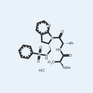 CN[C@@H](C)C(=O)N[C@H](C(=O)N1c2ncccc2C[C@H]1CNS(=O)(=O)c1ccccc1)C(C)C.Cl